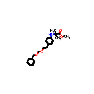 COC(=O)C(C)(C)Nc1ccc(CCOCOCc2ccccc2)cc1